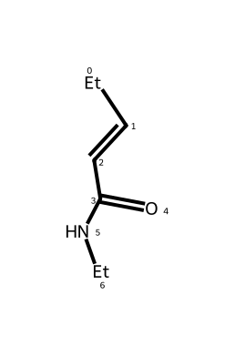 CCC=CC(=O)NCC